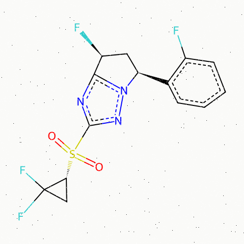 O=S(=O)(c1nc2n(n1)[C@H](c1ccccc1F)C[C@@H]2F)[C@@H]1CC1(F)F